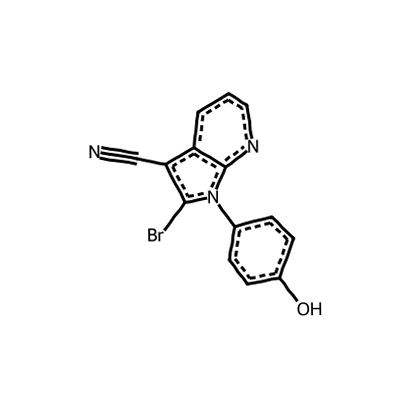 N#Cc1c(Br)n(-c2ccc(O)cc2)c2ncccc12